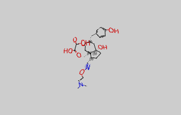 CN(C)CCO/N=C/[C@H]1CC[C@]2(O)C[C@@H](Cc3ccc(O)cc3)CC[C@]12C.O=C(O)C(=O)O